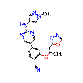 CC(Cc1nnco1)Oc1cc(-c2cnc(Nc3cnn(C)c3)nc2)ccc1C#N